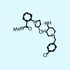 CNC(=O)c1ccccc1N1C[C@H](NC2CCN(Cc3ccc(Cl)cc3)CC2)[C@@H](O)C1